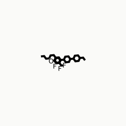 CCCC1CCc2cc(C3CCC(C4CCC(CC)CC4)CC3)c(C(F)F)c(F)c2O1